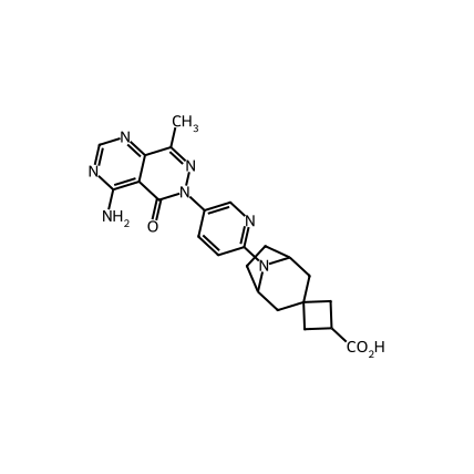 Cc1nn(-c2ccc(N3C4CCC3CC3(CC(C(=O)O)C3)C4)nc2)c(=O)c2c(N)ncnc12